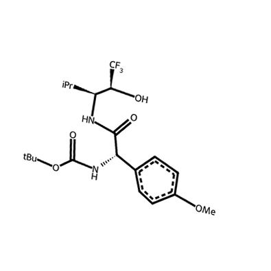 COc1ccc([C@H](NC(=O)OC(C)(C)C)C(=O)N[C@@H](C(C)C)[C@H](O)C(F)(F)F)cc1